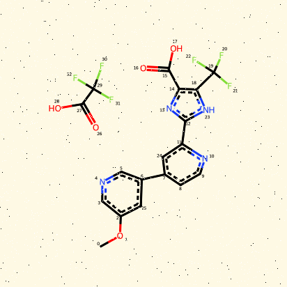 COc1cncc(-c2ccnc(-c3nc(C(=O)O)c(C(F)(F)F)[nH]3)c2)c1.O=C(O)C(F)(F)F